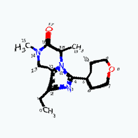 CCc1nc(C2CCOCC2)n2c1CN(C)C(=O)C2C